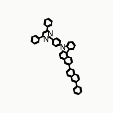 c1ccc(-c2ccc3cc(-c4ccc5c(ccc6c5c5ccccc5n6-c5ccc(-c6nc(-c7ccccc7)cc(-c7ccccc7)n6)cc5)c4)ccc3c2)cc1